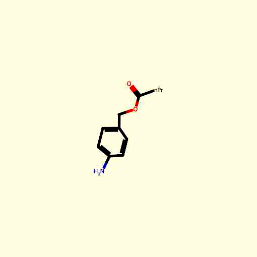 CCCC(=O)O[CH]c1ccc(N)cc1